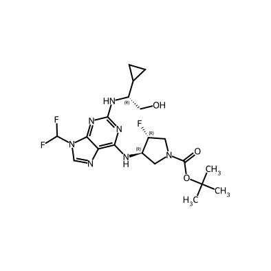 CC(C)(C)OC(=O)N1C[C@@H](F)[C@H](Nc2nc(N[C@@H](CO)C3CC3)nc3c2ncn3C(F)F)C1